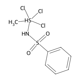 C[SH](Cl)(Cl)(Cl)NS(=O)(=O)c1ccccc1